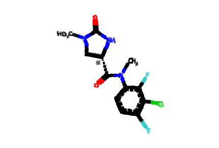 CN(C(=O)[C@@H]1CN(C(=O)O)C(=O)N1)c1ccc(F)c(Cl)c1F